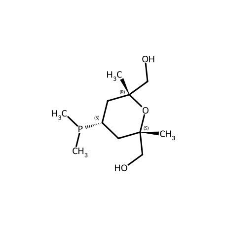 CP(C)[C@@H]1C[C@](C)(CO)O[C@](C)(CO)C1